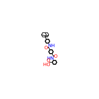 O=C(Nc1ccc(C23CC4CC(CC(C4)C2)C3)cc1)c1ccc(C(=O)Nc2ccccc2C(=O)O)cc1